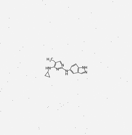 Cc1cnc(Nc2ccc3[nH]ncc3c2)nc1NC1CC1